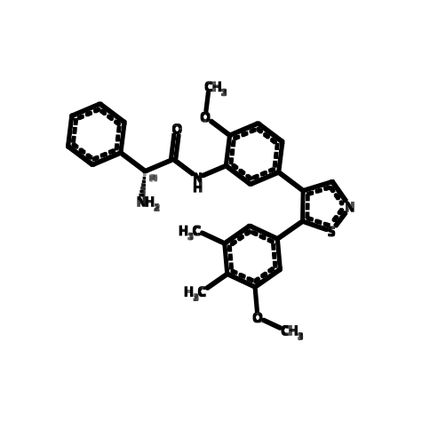 COc1ccc(-c2cnsc2-c2cc(C)c(C)c(OC)c2)cc1NC(=O)[C@H](N)c1ccccc1